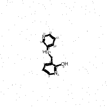 Oc1ncccc1CNc1cccnc1